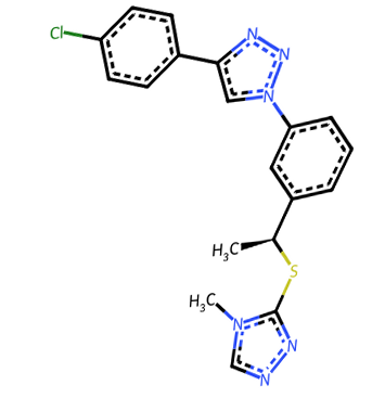 C[C@H](Sc1nncn1C)c1cccc(-n2cc(-c3ccc(Cl)cc3)nn2)c1